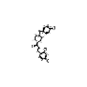 O=C(C=Cc1ccc(Cl)cc1Cl)N1CCN(Cc2ccc(Cl)cc2)CC1